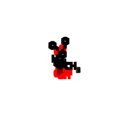 CCC[N@+]1(COP(=O)(O)O)CCC[C@@H]2Cc3c(ccc(OCc4ccccc4)c3OCc3ccccc3)C[C@H]21